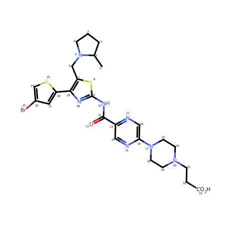 CC1CCCN1Cc1sc(NC(=O)c2cnc(N3CCN(CCC(=O)O)CC3)cn2)nc1-c1cc(Br)cs1